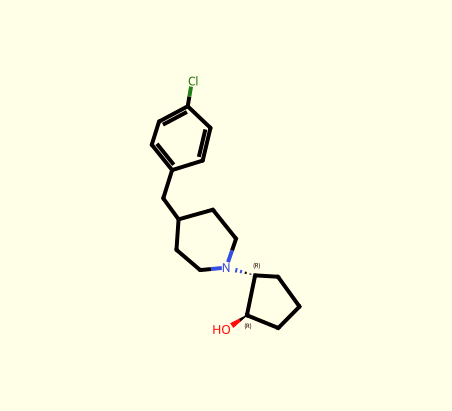 O[C@@H]1CCC[C@H]1N1CCC(Cc2ccc(Cl)cc2)CC1